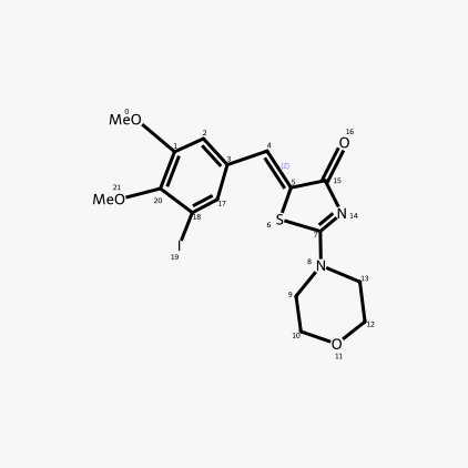 COc1cc(/C=C2\SC(N3CCOCC3)=NC2=O)cc(I)c1OC